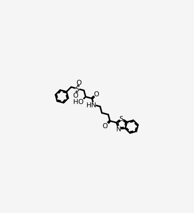 O=C(CCCNC(=O)C(O)CS(=O)(=O)Cc1ccccc1)c1nc2ccccc2s1